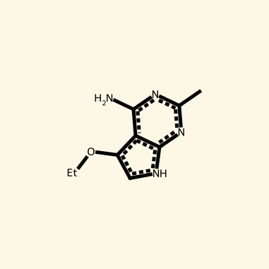 CCOc1c[nH]c2nc(C)nc(N)c12